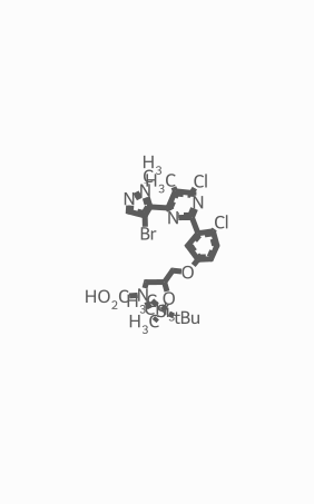 Cc1c(Cl)nc(-c2cc(OCC(CN(C)C(=O)O)O[Si](C)(C)C(C)(C)C)ccc2Cl)nc1-c1c(Br)cnn1C